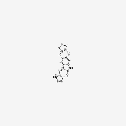 O=C1Nc2ccc(CN3CCSC3=O)cc2C1=Cc1ccc[nH]1